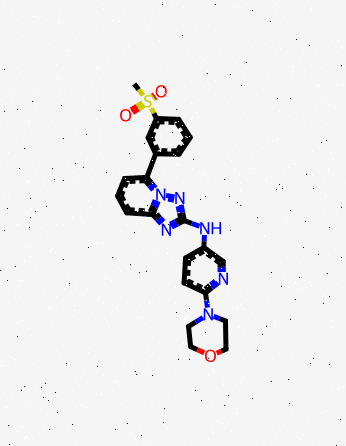 CS(=O)(=O)c1cccc(-c2cccc3nc(Nc4ccc(N5CCOCC5)nc4)nn23)c1